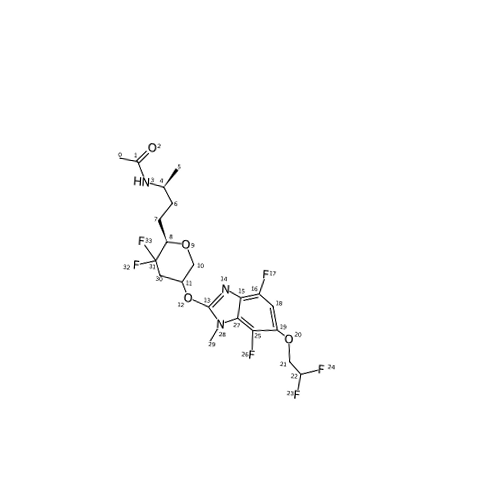 CC(=O)N[C@@H](C)CC[C@H]1OCC(Oc2nc3c(F)cc(OCC(F)F)c(F)c3n2C)CC1(F)F